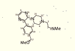 CNCCN1CCN(c2nccnc2-c2ccc(COC)cc2)CC1